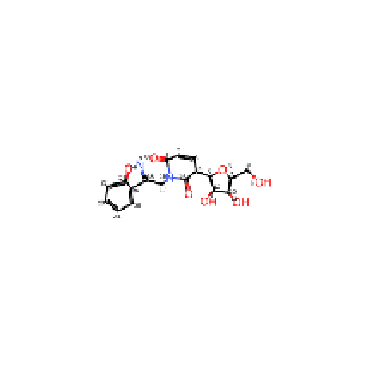 O=C1C=CC(C2OC(CO)C(O)C2O)C(=O)N1Cc1noc2ccccc12